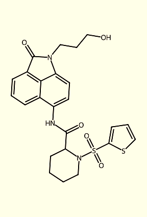 O=C(Nc1ccc2c3c(cccc13)C(=O)N2CCCO)C1CCCCN1S(=O)(=O)c1cccs1